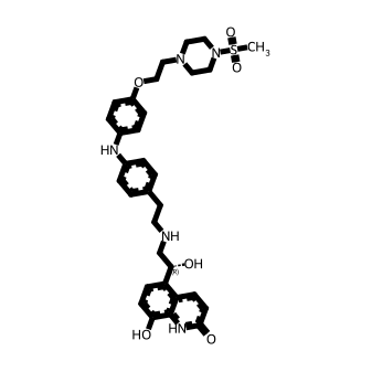 CS(=O)(=O)N1CCN(CCOc2ccc(Nc3ccc(CCNC[C@H](O)c4ccc(O)c5[nH]c(=O)ccc45)cc3)cc2)CC1